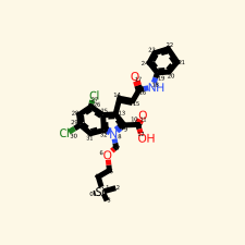 C[Si](C)(C)CCOCn1c(C(=O)O)c(C=CC(=O)Nc2ccccc2)c2c(Cl)cc(Cl)cc21